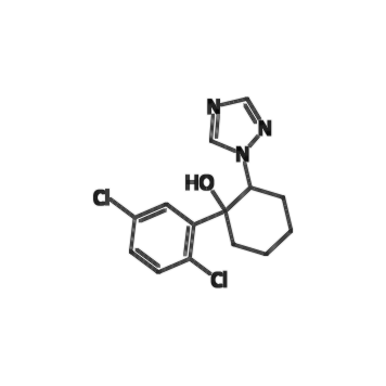 OC1(c2cc(Cl)ccc2Cl)CCCCC1n1cncn1